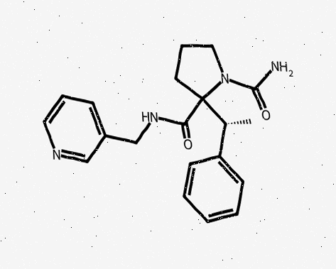 C[C@H](c1ccccc1)C1(C(=O)NCc2cccnc2)CCCN1C(N)=O